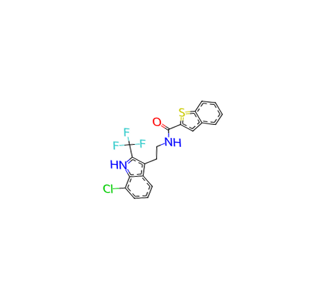 O=C(NCCc1c(C(F)(F)F)[nH]c2c(Cl)cccc12)c1cc2ccccc2s1